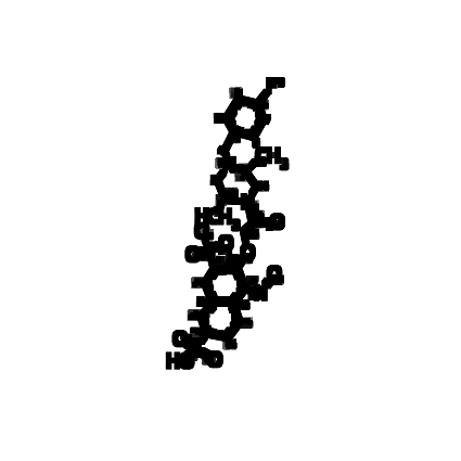 C[C@@H]1CN(Cc2ccc(F)cc2)[C@@H](C)CN1C(=O)COc1c(S(=O)(=O)O)cc2cc(S(=O)(=O)O)ccc2c1N=O